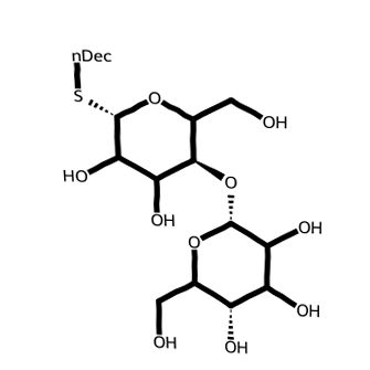 CCCCCCCCCCS[C@@H]1OC(CO)[C@@H](O[C@H]2OC(CO)[C@@H](O)C(O)C2O)C(O)C1O